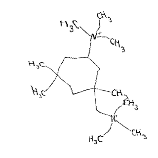 CC1(C)CC([N+](C)(C)C)CC(C)(C[N+](C)(C)C)C1